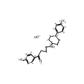 Cl.O=C(CCCNC1CCC(c2ccc(C(F)(F)F)cc2)CC1)c1ccc(F)cc1